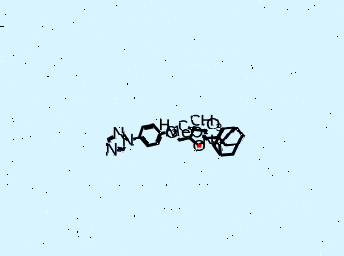 COC(=O)C12CC3CC(C1)C(N1CC(COc4ccc(-n5cncn5)cc4)C(C)(C)C1=O)C(C3)C2